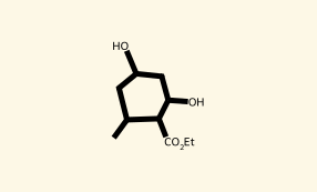 CCOC(=O)C1C(C)CC(O)CC1O